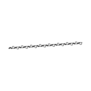 CCCOCCOCCOCCOCCOCCOCCOCCOCCOCCOCCOCCOCCOCCOCCOCCOC